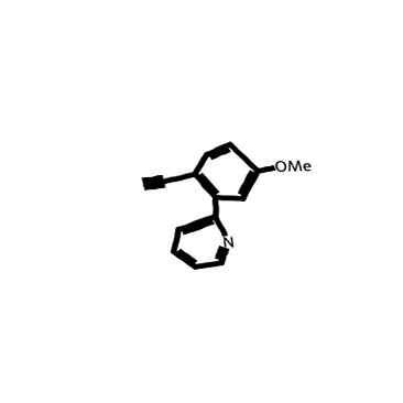 C#Cc1ccc(OC)cc1-c1ccccn1